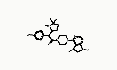 C[C@@H]1C[C@H](O)c2ncnc(N3CCN(C(=O)C(c4ccc(Cl)cc4)C4CCC(C)(C)N4C)CC3)c21